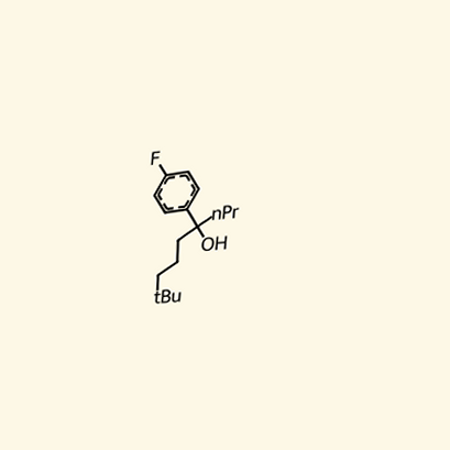 CCCC(O)(CCCC(C)(C)C)c1ccc(F)cc1